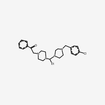 CCC(N1CCN(CC(=O)c2ccccc2)CC1)N1CCN(Cc2ccc(Cl)cc2)CC1